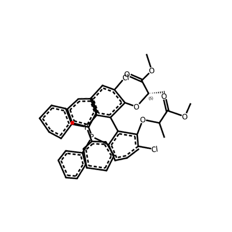 COC(=O)C(C)Oc1c(Cl)ccc(P(c2ccccc2)c2ccccc2)c1-c1c(P(c2ccccc2)c2ccccc2)ccc(Cl)c1O[C@@H](C)C(=O)OC